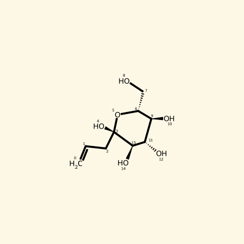 C=CC[C@]1(O)O[C@H](CO)[C@@H](O)[C@H](O)[C@H]1O